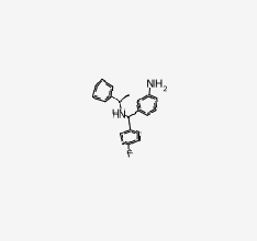 C[C@@H](NC(c1ccc(F)cc1)c1cccc(N)c1)c1ccccc1